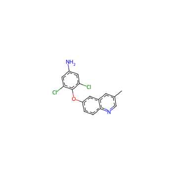 Cc1cnc2ccc(Oc3c(Cl)cc(N)cc3Cl)cc2c1